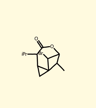 CC(C)C1C(=O)OC2C(C)C3(CC13)C2Br